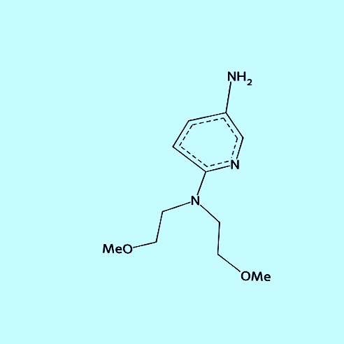 COCCN(CCOC)c1ccc(N)cn1